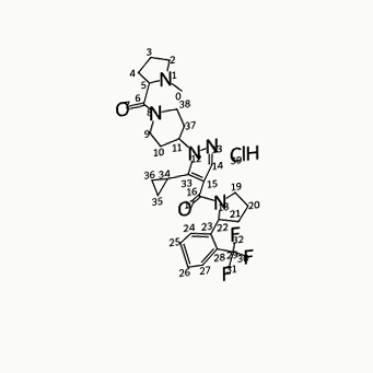 CN1CCCC1C(=O)N1CCC(n2ncc(C(=O)N3CCCC3c3ccccc3C(F)(F)F)c2C2CC2)CC1.Cl